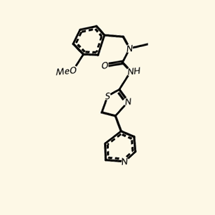 COc1cccc(CN(C)C(=O)NC2=NC(c3ccncc3)CS2)c1